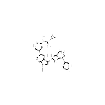 O=C(Nc1cncc(-c2cnc3[nH]cc(-c4nc5c(-c6cccnc6)cncc5[nH]4)c3c2)c1)C1CC1